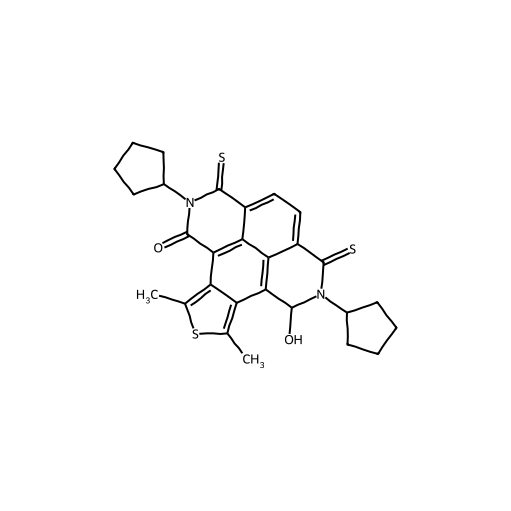 Cc1sc(C)c2c3c4c(ccc5c4c(c12)C(=O)N(C1CCCC1)C5=S)C(=S)N(C1CCCC1)C3O